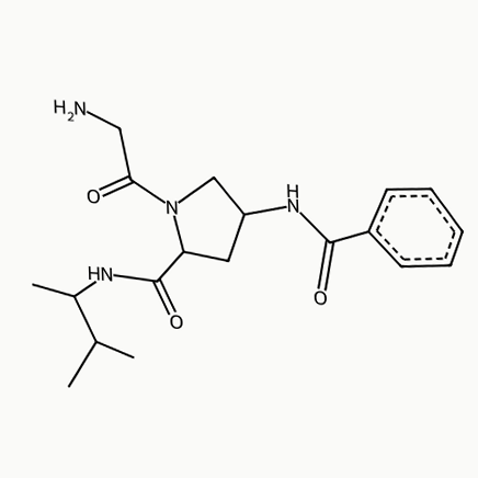 CC(C)C(C)NC(=O)C1CC(NC(=O)c2ccccc2)CN1C(=O)CN